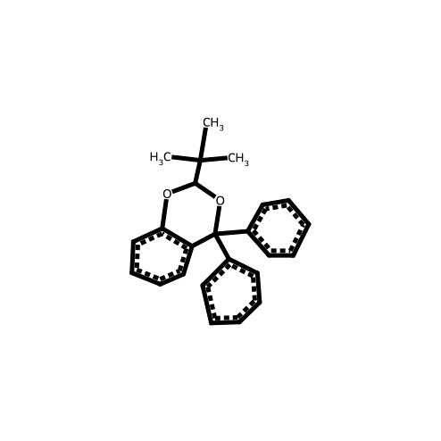 CC(C)(C)C1Oc2ccccc2C(c2ccccc2)(c2ccccc2)O1